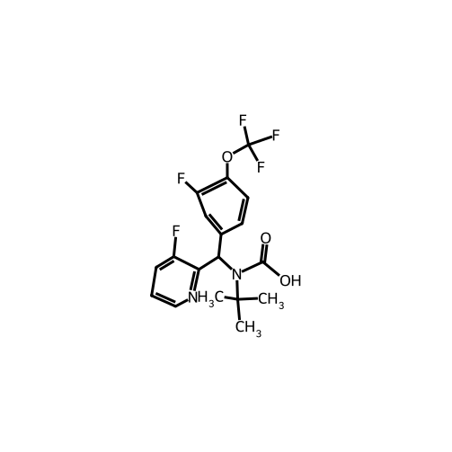 CC(C)(C)N(C(=O)O)C(c1ccc(OC(F)(F)F)c(F)c1)c1ncccc1F